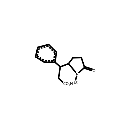 CCN1C(=O)CCC1C(CC(=O)O)c1ccccc1